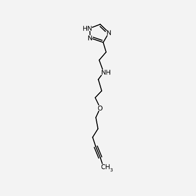 CC#CCCCOCCCNCCc1nc[nH]n1